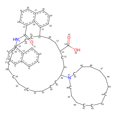 O=C(Nc1cccc2ccccc12)c1cccc2cccc(C3CCCCCCCCCCCCCC(N4CCCCCCCCCCCCC4)CCC(C(=O)O)CC3)c12